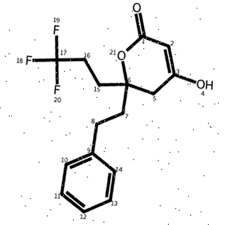 O=C1C=C(O)CC(CCc2ccccc2)(CCC(F)(F)F)O1